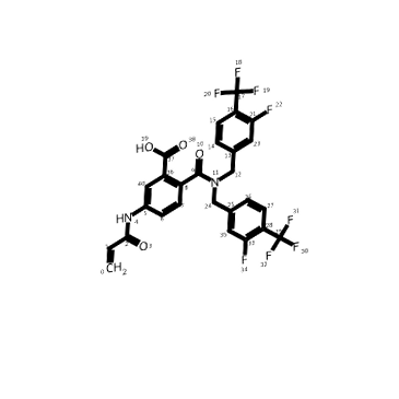 C=CC(=O)Nc1ccc(C(=O)N(Cc2ccc(C(F)(F)F)c(F)c2)Cc2ccc(C(F)(F)F)c(F)c2)c(C(=O)O)c1